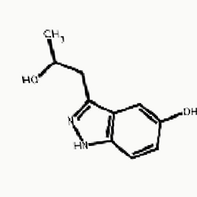 CC(O)Cc1n[nH]c2ccc(O)cc12